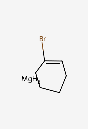 BrC1=CCCCC1.[MgH2]